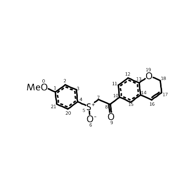 COc1ccc([S+]([O-])CC(=O)c2ccc3c(c2)C=CCO3)cc1